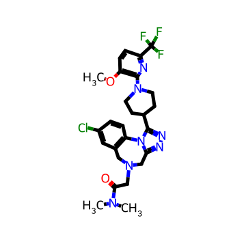 COc1ccc(C(F)(F)F)nc1N1CCC(c2nnc3n2-c2ccc(Cl)cc2CN(CC(=O)N(C)C)C3)CC1